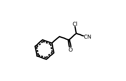 N#CC(Cl)C(=O)Cc1ccccc1